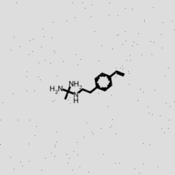 C=Cc1ccc(CCNC(C)(N)N)cc1